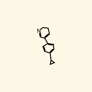 C1=NCCC=C1c1ccc(C2CC2)cc1